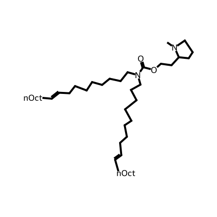 CCCCCCCCC=CCCCCCCCCN(CCCCCCCCC=CCCCCCCCC)C(=O)OCCC1CCCN1C